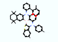 Cc1cc2c3c(c1)N(c1ccc(C(C)(C)C)cc1)c1c(sc4ccc(C(C)(C)C)cc14)B3c1cc3c(cc1N2c1ccccc1-c1ccccc1C)C(C)(C)CCC3(C)C